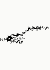 COc1cc(N)cc(OCCOCCOCCOCCOCC(=O)O)c1OC